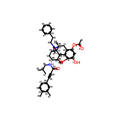 CC(=O)Oc1cc(O)c2c3c1C[C@@H]1[C@@H]4CC[C@@H](N(CC(C)C)C(=O)C#Cc5ccc(C)c(C)c5)[C@H](O2)[C@]34CCN1CCc1ccccc1